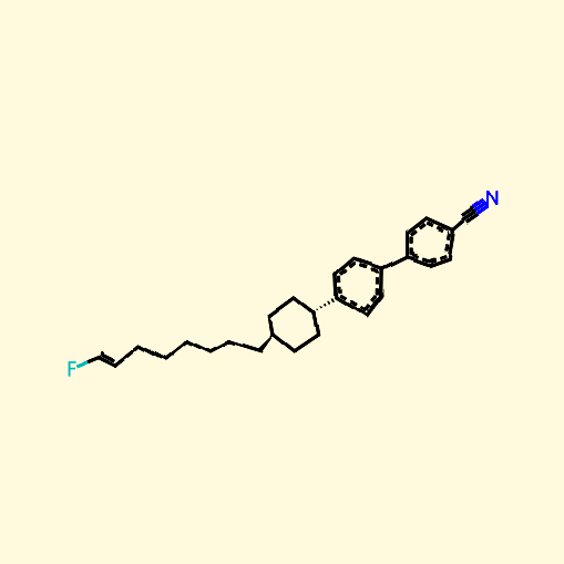 N#Cc1ccc(-c2ccc([C@H]3CC[C@H](CCCCCCC=CF)CC3)cc2)cc1